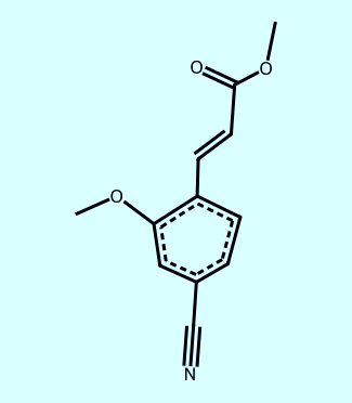 COC(=O)C=Cc1ccc(C#N)cc1OC